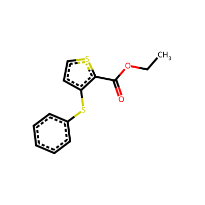 CCOC(=O)c1sccc1Sc1ccccc1